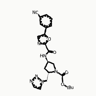 CC(C)(C)OC(=O)N1C[C@H](NC(=O)c2ncc(-c3cccc(C#N)c3)o2)C[C@H]1Cn1ccnn1